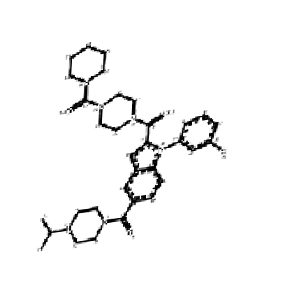 CC(C)N1CCN(C(=O)c2ccc3c(c2)cc(C(=O)N2CCN(C(=O)N4CCCCC4)CC2)n3-c2cccc(Cl)c2)CC1